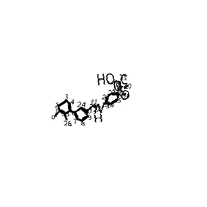 Cc1cccc(-c2cccc(CNc3ccc(S(=O)(=O)CC(=O)O)cc3)c2)c1C